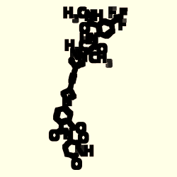 CNC(=O)c1cc(C(F)(F)F)ccc1NC(=O)C(C)(C)n1cc(C#CC2CN(c3ccc4c(c3)C(=O)N(C3CCC(=O)NC3=O)C4=O)C2)cn1